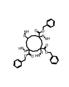 N=NC1CCC(N=N)(C(=O)OCc2ccccc2)CCC(N=N)(C(=O)OCc2ccccc2)CCC(N=N)(C(=O)OCc2ccccc2)CC1